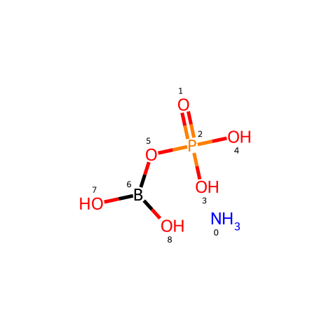 N.O=P(O)(O)OB(O)O